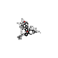 CC(=O)O.CC[C@]1(O)C[C@H]2C[N@](CCc3c([nH]c4ccccc34)[C@@](C(=O)OC)(c3cc4c(cc3OC)N(C=O)[C@H]3[C@@](O)(C(=O)OC)[C@H](OC(C)=O)[C@]5(CC)C=CCN6CC[C@]43[C@@H]65)C2)C1.O=S(=O)(O)O